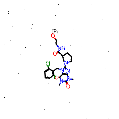 CC(C)OCCNC(=O)C1CCCN(c2nc3c(c(=O)n(C)c(=O)n3C)n2Cc2c(F)cccc2Cl)C1